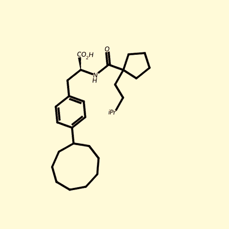 CC(C)CCC1(C(=O)N[C@@H](Cc2ccc(C3CCCCCCCC3)cc2)C(=O)O)CCCC1